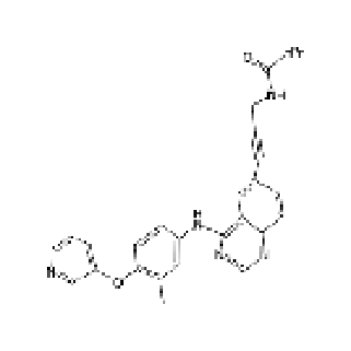 CCCC(=O)NCC#Cc1ccc2ncnc(Nc3ccc(Oc4cccnc4)c(C)c3)c2c1